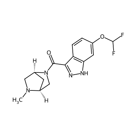 CN1C[C@@H]2C[C@H]1CN2C(=O)c1n[nH]c2cc(OC(F)F)ccc12